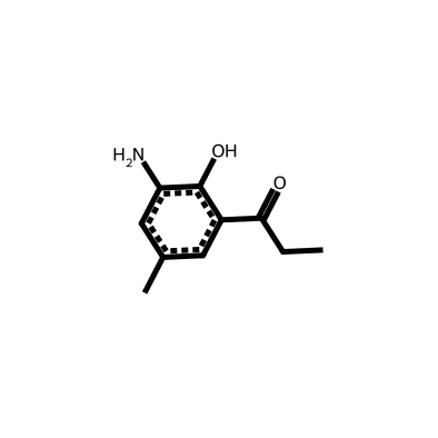 CCC(=O)c1cc(C)cc(N)c1O